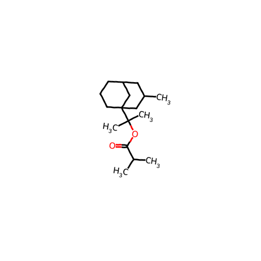 CC1CC2CCCC(C(C)(C)OC(=O)C(C)C)(C1)C2